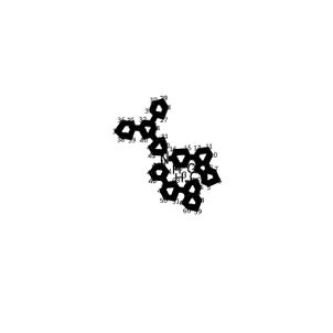 CC1(C)c2ccccc2-c2cccc(-c3ccc(N(c4ccc(-c5cc(-c6ccccc6)cc(-c6ccccc6)c5)cc4)c4cccc(-c5cccc(-c6cccc7ccccc67)c5)c4)cc3)c21